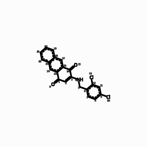 O=C1C=C(NCc2ccc(Cl)cc2Cl)C(=O)c2cc3ccccc3cc21